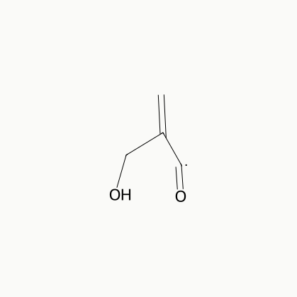 C=C([C]=O)CO